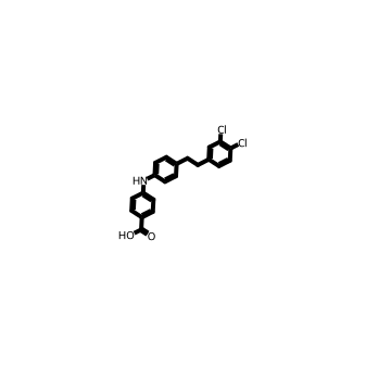 O=C(O)c1ccc(Nc2ccc(CCc3ccc(Cl)c(Cl)c3)cc2)cc1